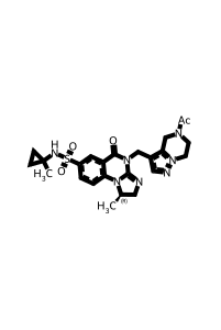 CC(=O)N1CCn2ncc(CN3C(=O)c4cc(S(=O)(=O)NC5(C)CC5)ccc4N4C3=NC[C@H]4C)c2C1